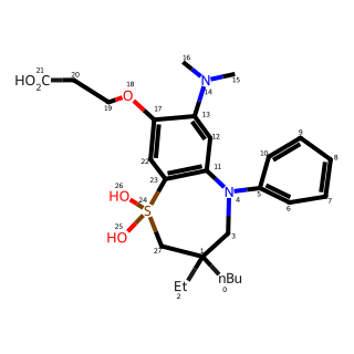 CCCCC1(CC)CN(c2ccccc2)c2cc(N(C)C)c(OCCC(=O)O)cc2S(O)(O)C1